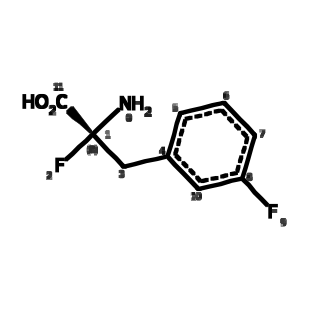 N[C@@](F)(Cc1cccc(F)c1)C(=O)O